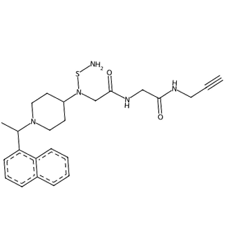 C#CCNC(=O)CNC(=O)CN(SN)C1CCN(C(C)c2cccc3ccccc23)CC1